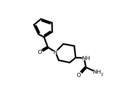 NC(=O)NC1CCN(C(=O)c2ccccc2)CC1